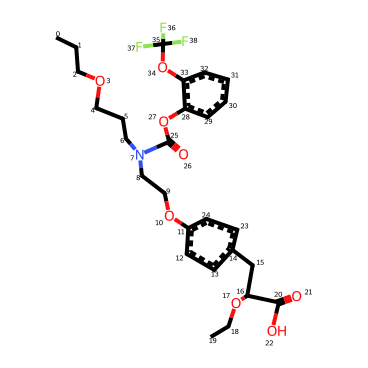 CCCOCCCN(CCOc1ccc(CC(OCC)C(=O)O)cc1)C(=O)Oc1ccccc1OC(F)(F)F